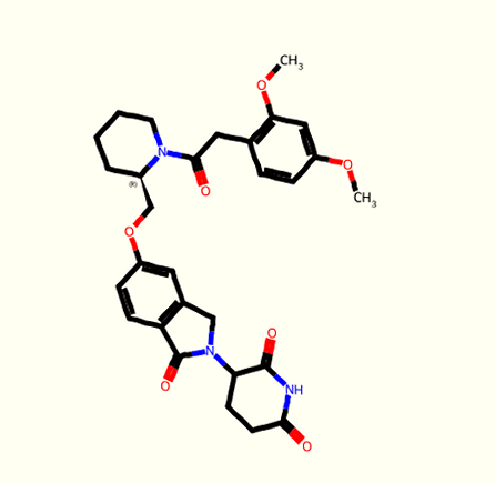 COc1ccc(CC(=O)N2CCCC[C@@H]2COc2ccc3c(c2)CN(C2CCC(=O)NC2=O)C3=O)c(OC)c1